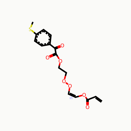 C=CC(=O)O/C=C\OOCCOC(=O)C(=O)c1ccc(SC)cc1